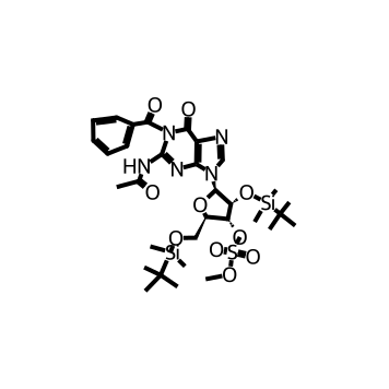 COS(=O)(=O)O[C@H]1[C@@H](O[Si](C)(C)C(C)(C)C)[C@H](n2cnc3c(=O)n(C(=O)c4ccccc4)c(NC(C)=O)nc32)O[C@@H]1CO[Si](C)(C)C(C)(C)C